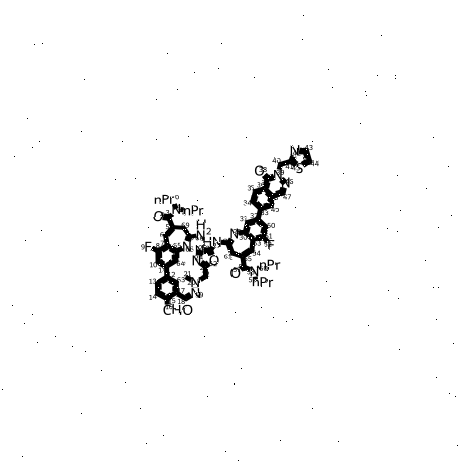 CCCN(CCC)C(=O)C1=Cc2c(F)cc(-c3ccc(C=O)c(/C=N\N(C)Cc4nnc(NC5=Nc6cc(-c7ccc8c(=O)n(Cc9nccs9)ncc8c7)cc(F)c6C=C(C(=O)N(CCC)CCC)C5)o4)c3)cc2N=C(N)C1